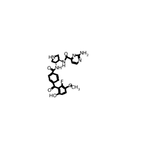 COc1ccc(O)c(C(=O)c2ccc(C(=O)N[C@@H]3CNC[C@H]3NC(=O)c3ccnc(N)n3)cc2)c1F